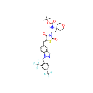 CC(C)(C)OC(=O)NC1(CCN2C(=O)SC(=Cc3ccc4c(cnn4Cc4ccc(C(F)(F)F)cc4C(F)(F)F)c3)C2=O)CCOCC1